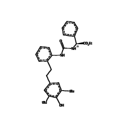 CCOC(=O)[C@@H](NC(=O)Nc1ccccc1CCc1cc(C(C)(C)C)c(O)c(C(C)(C)C)c1)c1ccccc1